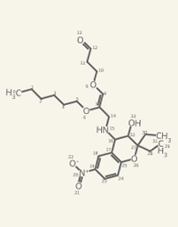 CCCCCCO/C(=C\OCCC=O)CNC1c2cc([N+](=O)[O-])ccc2OC(CC)(CC)C1O